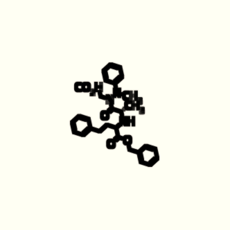 C[C@H](NC(CCc1ccccc1)C(=O)OCc1ccccc1)C(=O)N(CC(=O)O)N(C)c1ccccc1